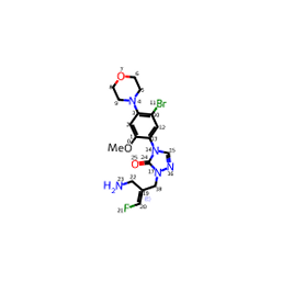 COc1cc(N2CCOCC2)c(Br)cc1-n1cnn(C/C(=C/F)CN)c1=O